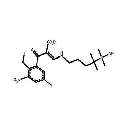 CCOC(=O)C(=CNCCCC(C)(C)[Si](C)(C)O)C(=O)c1cc(I)cc([N+](=O)[O-])c1CI